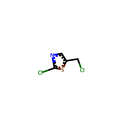 ClCc1cnc(Cl)s1